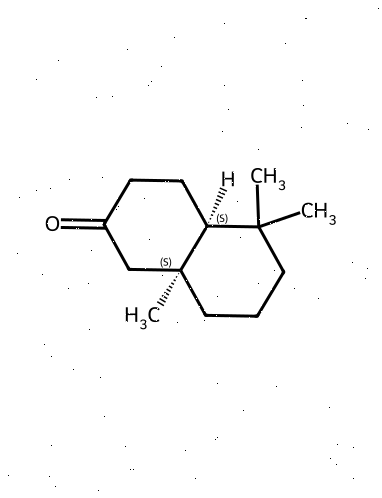 CC1(C)CCC[C@@]2(C)CC(=O)CC[C@@H]12